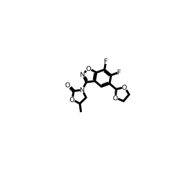 CC1CN(c2noc3c(F)c(F)c(C4OCCO4)cc23)C(=O)O1